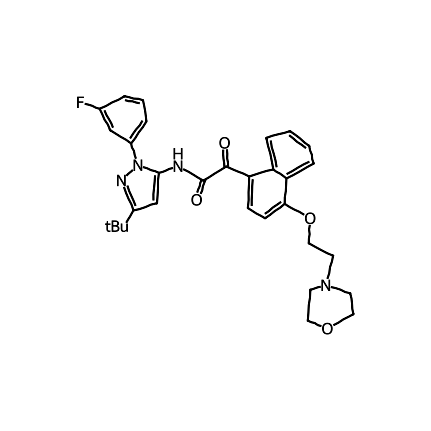 CC(C)(C)c1cc(NC(=O)C(=O)c2ccc(OCCN3CCOCC3)c3ccccc23)n(-c2cccc(F)c2)n1